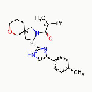 Cc1ccc(-c2c[nH]c([C@@H]3C[C@@]4(CCCOC4)CN3C(=O)[C@@H](C)C(C)C)n2)cc1